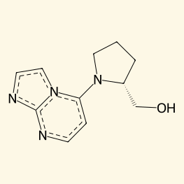 OC[C@H]1CCCN1c1ccnc2nccn12